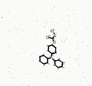 C1CCC(P(C2CCCCC2)C2CCCCC2)CC1.CCOC(Cl)Cl